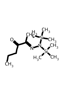 CCCC(=O)C(C)=NN([Si](C)(C)C)[Si](C)(C)C